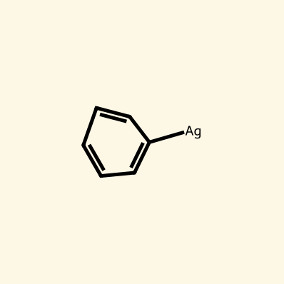 [Ag][c]1ccccc1